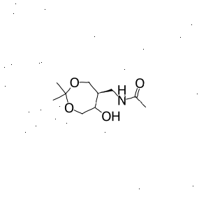 CC(=O)NC[C@@H]1COC(C)(C)OCC1O